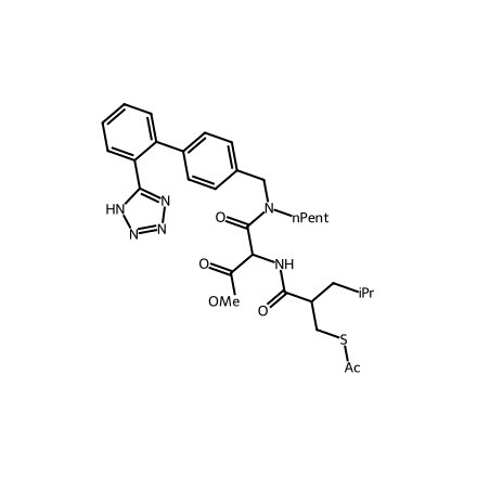 CCCCCN(Cc1ccc(-c2ccccc2-c2nnn[nH]2)cc1)C(=O)C(NC(=O)C(CSC(C)=O)CC(C)C)C(=O)OC